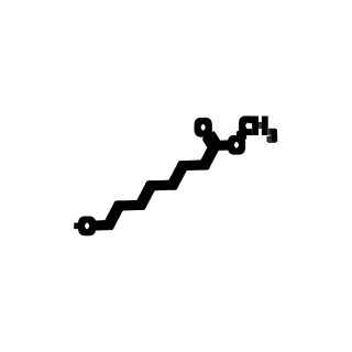 COC(=O)CCCCCCC[O]